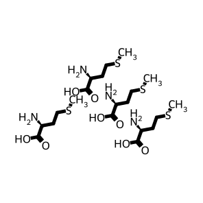 CSCC[C@H](N)C(=O)O.CSCC[C@H](N)C(=O)O.CSCC[C@H](N)C(=O)O.CSCC[C@H](N)C(=O)O